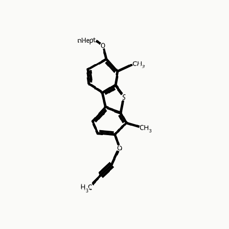 CC#COc1ccc2c(sc3c(C)c(OCCCCCCC)ccc32)c1C